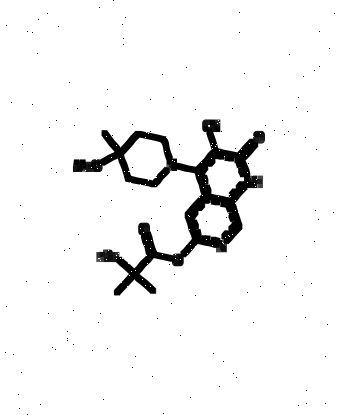 CCCCC(C)(C)C(=O)Oc1cc2c(N3CCC(C)(OC)CC3)c(C#N)c(=O)[nH]c2cn1